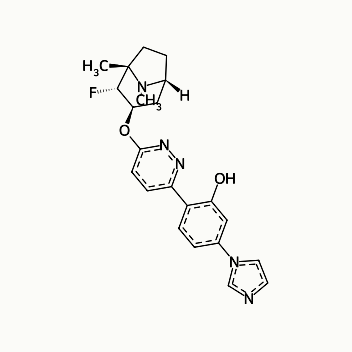 CN1[C@@H]2CC[C@@]1(C)[C@@H](F)[C@H](Oc1ccc(-c3ccc(-n4ccnc4)cc3O)nn1)C2